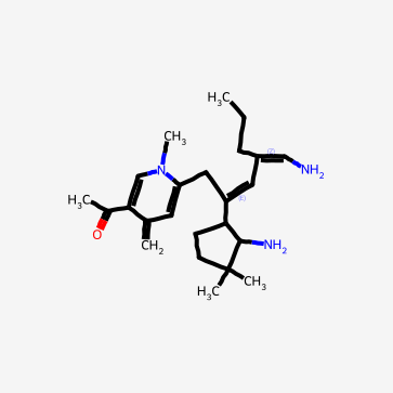 C=C1C=C(C/C(=C\C(=C/N)CCC)C2CCC(C)(C)C2N)N(C)C=C1C(C)=O